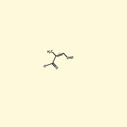 C/C(=C/[C]=O)C([O])=O